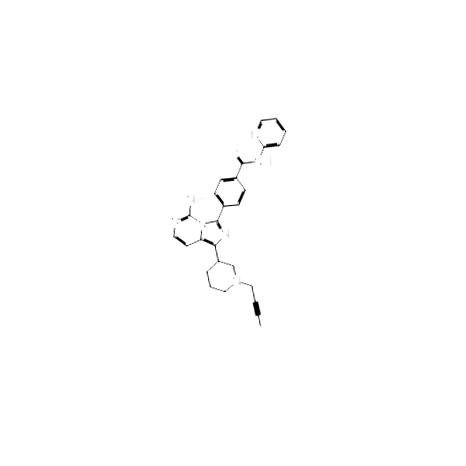 CC#CCN1CCCC(c2nc(-c3ccc(C(=O)Nc4ccccn4)cc3)n3c(N)nccc23)C1